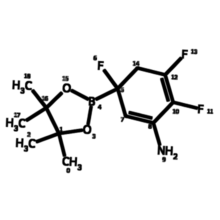 CC1(C)OB(C2(F)C=C(N)C(F)=C(F)C2)OC1(C)C